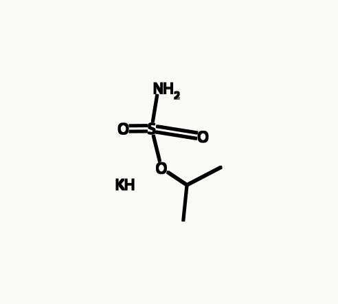 CC(C)OS(N)(=O)=O.[KH]